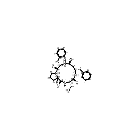 O=C1C[C@H](Cc2ccccc2)NC(=O)[C@H](CO)NC(=O)[C@@H]2CCCN2C(=O)[C@H](Cc2ccccc2)N1